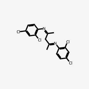 CC(CC(C)=Nc1ccc(Cl)cc1Cl)=Nc1ccc(Cl)cc1Cl